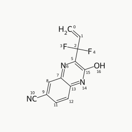 C=CC(F)(F)c1nc2cc(C#N)ccc2nc1O